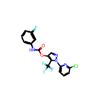 O=C(Nc1cccc(F)c1)Oc1cnn(-c2cccc(Cl)n2)c1C(F)(F)F